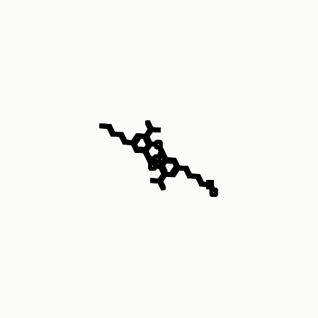 CCCCCc1cc(C(C)C)c2c(c1)C1Oc3c(C(C)C)cc(CCCCN=O)cc3C(O2)O1